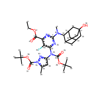 CCOC(=O)c1nc(N(C)C2C3CC4CC2CC(O)(C4)C3)nc(N(C(=O)OC(C)(C)C)c2cc(C)n(C(=O)OC(C)(C)C)n2)c1F